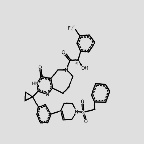 O=C([C@H](O)c1cccc(C(F)(F)F)c1)N1CCCc2nc(C3(c4cccc(C5=CCN(S(=O)(=O)Cc6ccccc6)CC5)c4)CC3)[nH]c(=O)c2C1